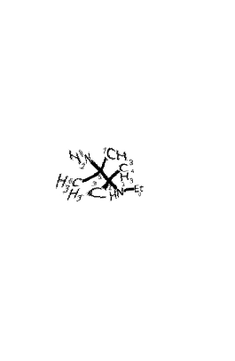 CCNC(C)(C)C(C)(C)N